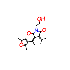 CC(C)=C1C(=O)N(CCO)C(=O)C1=C(C)c1cc(C)oc1C